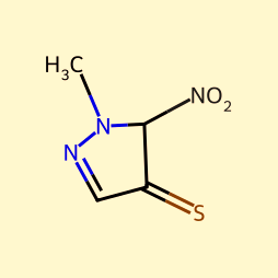 CN1N=CC(=S)C1[N+](=O)[O-]